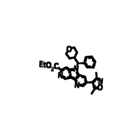 CCOC(=O)c1cc2c(cn1)c1ncc(-c3c(C)noc3C)cc1n2[C@H](c1ccccc1)C1CCOCC1